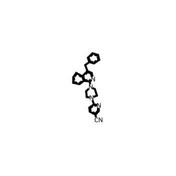 N#Cc1ccc(N2CCN(c3ncc(Cc4ccccc4)c4ccccc34)CC2)nc1